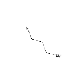 FCC[CH2][Sb]